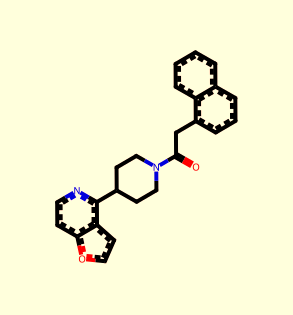 O=C(Cc1cccc2ccccc12)N1CCC(c2nccc3occc23)CC1